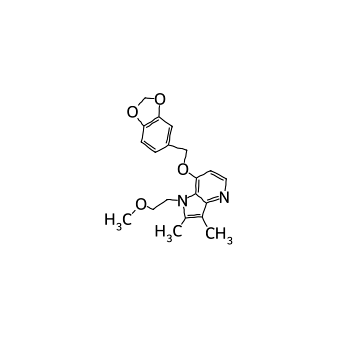 COCCn1c(C)c(C)c2nccc(OCc3ccc4c(c3)OCO4)c21